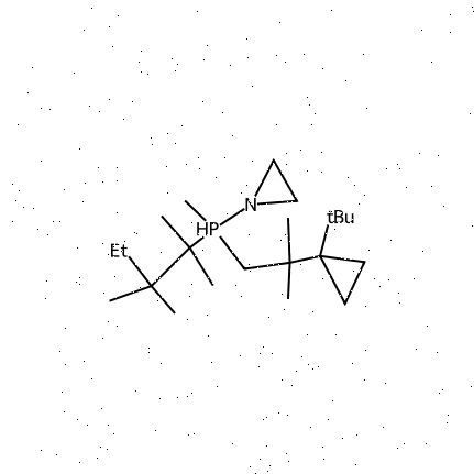 CCC(C)(C)C(C)(C)[PH](C)(CC(C)(C)C1(C(C)(C)C)CC1)N1CC1